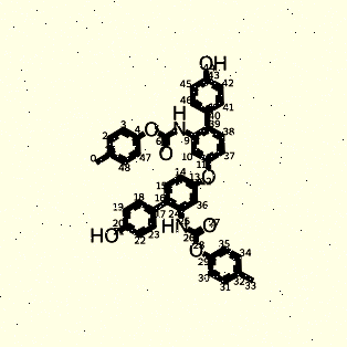 Cc1ccc(OC(=O)Nc2cc(Oc3ccc(-c4ccc(O)cc4)c(NC(=O)Oc4ccc(C)cc4)c3)ccc2-c2ccc(O)cc2)cc1